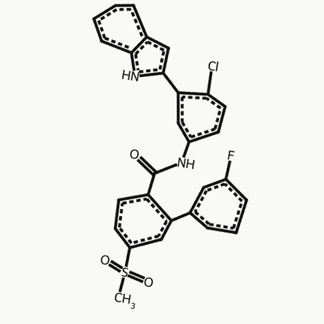 CS(=O)(=O)c1ccc(C(=O)Nc2ccc(Cl)c(-c3cc4ccccc4[nH]3)c2)c(-c2cccc(F)c2)c1